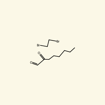 BrCCBr.CCCCCCC(=O)C=O